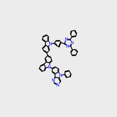 c1ccc(-c2nc(-c3ccccc3)nc(-c3ccc(-n4c5ccccc5c5ccc(-c6ccc7c(c6)c6ccccc6n7-c6ccc7c(c6)c6ncncc6n7-c6ccccc6)cc54)cc3)n2)cc1